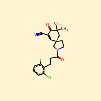 CC1(C)C[C@@]2(C=C(C#N)C1=O)CCN(C(=O)CCc1c(F)cccc1Cl)C2